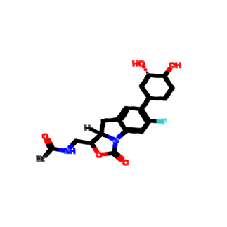 CCC(=O)NCC1OC(=O)N2c3cc(F)c(C4CCC(O)[C@@H](O)C4)cc3C[C@@H]12